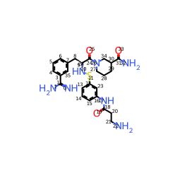 N=C(N)c1cccc(C[C@H](NSc2cccc(NC(=O)CCN)c2)C(=O)N2CCCC(C(N)=O)C2)c1